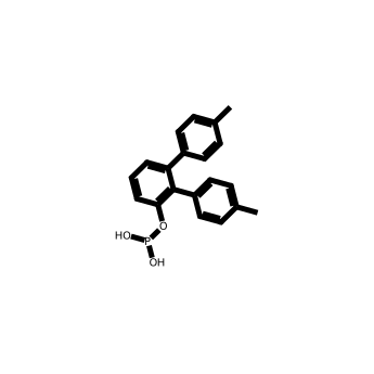 Cc1ccc(-c2cccc(OP(O)O)c2-c2ccc(C)cc2)cc1